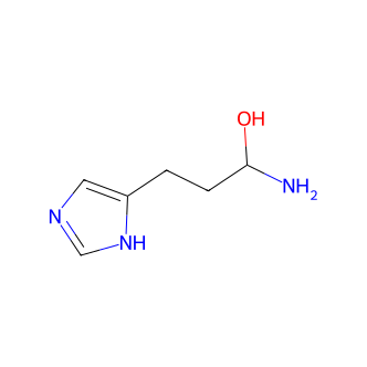 NC(O)CCc1cnc[nH]1